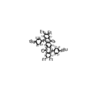 CCc1cc2c(=O)c3cc4c(cc3n(-c3ccc(C(C)(C)C)cc3)c2cc1CC)c(=O)c1cc(CC)c(CC)cc1n4-c1ccc(C(C)(C)C)cc1